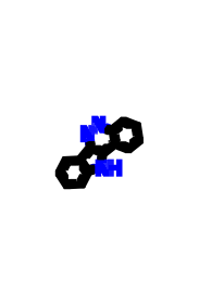 c1ccc2c(c1)nnc1c3ccccc3[nH]c21